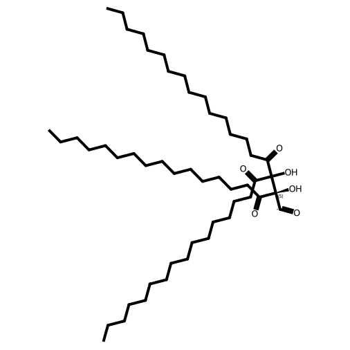 CCCCCCCCCCCCCCCC(=O)C(O)(C(=O)CCCCCCCCCCCCCCC)[C@](O)([C]=O)C(=O)CCCCCCCCCCCCCCC